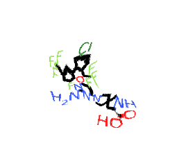 Nc1nc(OC(c2ccc(Cl)cc2-c2cc(F)cc(C(F)(F)F)c2)C(F)(F)F)cc(N2CCC3(CC2)CN[C@H](C(=O)O)C3)n1